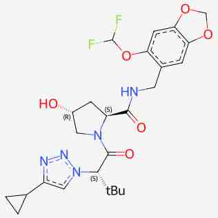 CC(C)(C)[C@@H](C(=O)N1C[C@H](O)C[C@H]1C(=O)NCc1cc2c(cc1OC(F)F)OCO2)n1cc(C2CC2)nn1